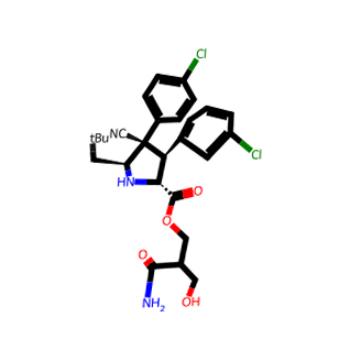 CC(C)(C)C[C@@H]1N[C@@H](C(=O)OCC(CO)C(N)=O)[C@H](c2cccc(Cl)c2)[C@@]1(C#N)c1ccc(Cl)cc1